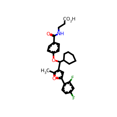 Cc1oc(-c2ccc(F)cc2F)cc1C(Oc1ccc(C(=O)NCCC(=O)O)cc1)C1CCCCC1